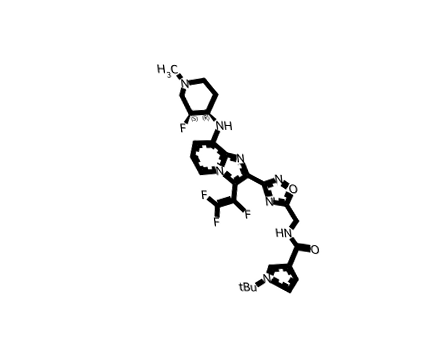 CN1CC[C@@H](Nc2cccn3c(C(F)=C(F)F)c(-c4noc(CNC(=O)c5ccn(C(C)(C)C)c5)n4)nc23)[C@@H](F)C1